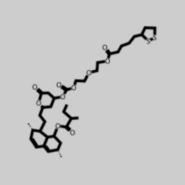 CCC(C)C(=O)OC1C[C@H](C)C=C2C=C[C@H](C)C(CCC3CC(OC(=O)OCCOCCOC(=O)CCCCC4CCSS4)CC(=O)O3)C21